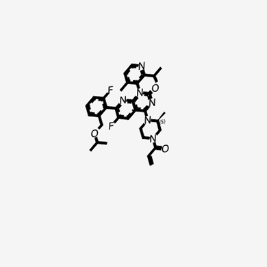 C=CC(=O)N1CCN(c2nc(=O)n(-c3c(C)ccnc3C(C)C)c3nc(-c4c(F)cccc4COC(C)C)c(F)cc23)[C@@H](C)C1